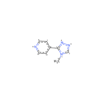 Cn1cnnc1-c1ccncc1